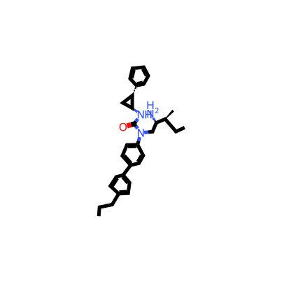 CCCc1ccc(-c2ccc(N(C[C@@H](N)[C@@H](C)CC)C(=O)N[C@H]3C[C@@H]3c3ccccc3)cc2)cc1